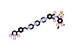 CCOc1cc([C@@H](CS(C)(=O)=O)N2C(=O)c3ccc(N4CCN(C5CCN(C6CCN(CCc7ccc(C8CCC(=O)NC8=O)cc7)CC6)CC5)CC4)cc3C2=O)ccc1OC